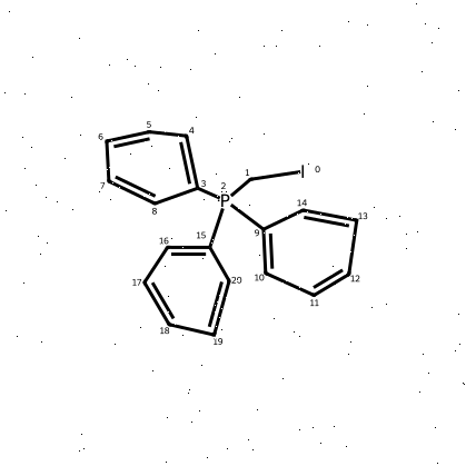 IC[P](c1ccccc1)(c1ccccc1)c1ccccc1